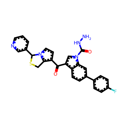 NNC(=O)n1cc(C(=O)c2ccn3c2CSC3c2cccnc2)c2ccc(-c3ccc(F)cc3)cc21